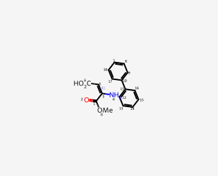 COC(=O)/C(N)=C\C(=O)O.c1ccc(-c2ccccc2)cc1